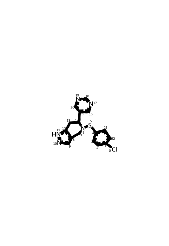 Clc1ccc(SN2Cc3cn[nH]c3CC2c2cncnc2)cc1